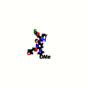 COC1CN(c2ccc(C(=O)N[C@H](COCF)C(C)C)nc2OCC2COC2)C1